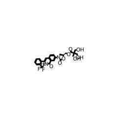 O=C1O[C@H](COC(=O)C(CO)(CO)CO)CN1c1ccc2cc(-c3ccccc3C(F)(F)F)[nH]c(=O)c2c1